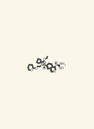 CCOC(=O)C1(N(CCOC2CCCCO2)S(=O)(=O)c2ccc3c(N(Cl)C(=N)N)cncc3c2)CCCC1